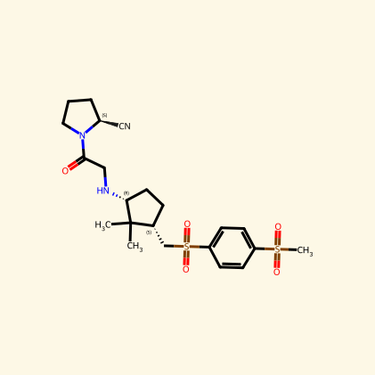 CC1(C)[C@@H](CS(=O)(=O)c2ccc(S(C)(=O)=O)cc2)CC[C@H]1NCC(=O)N1CCC[C@H]1C#N